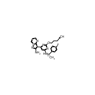 C#CCCCOc1nc(N[C@@H](C)c2ccc(F)cc2)cc(-c2c(N)nn3cccnc23)n1